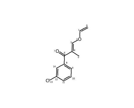 C=CO/C=C(\C)C(=O)c1cccc(Cl)c1